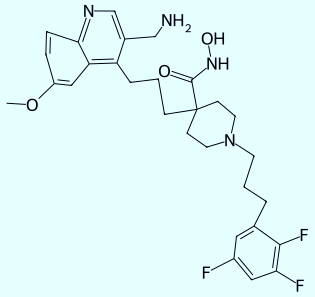 COc1ccc2ncc(CN)c(CCCC3(C(=O)NO)CCN(CCCc4cc(F)cc(F)c4F)CC3)c2c1